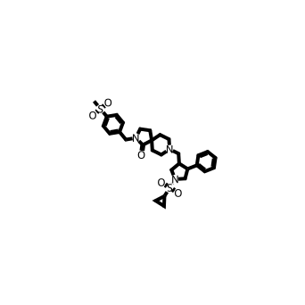 CS(=O)(=O)c1ccc(CN2CCC3(CCN(CC4CN(S(=O)(=O)C5CC5)CC4c4ccccc4)CC3)C2=O)cc1